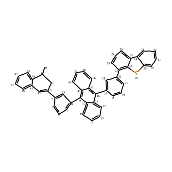 CC1CC(c2cccc(-c3c4ccccc4c(-c4cccc(-c5cccc6c5sc5ccccc56)c4)c4ccccc34)c2)=Cc2ccccc21